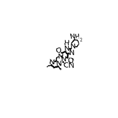 Cc1cc(C)nc(Cn2c(=O)c3[nH]c(N4CCCC(N)C4)nc3c(=O)n2CC#N)n1